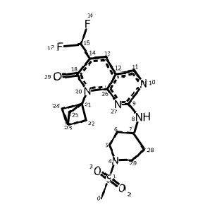 CS(=O)(=O)N1CCC(Nc2ncc3cc(C(F)F)c(=O)n(C45CC(C4)C5)c3n2)CC1